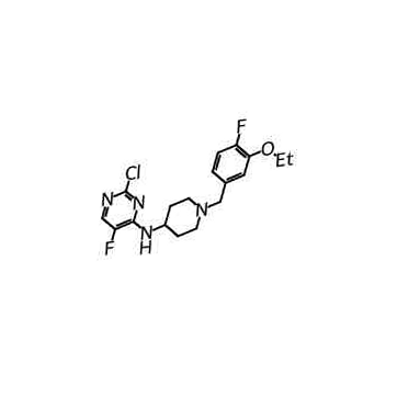 CCOc1cc(CN2CCC(Nc3nc(Cl)ncc3F)CC2)ccc1F